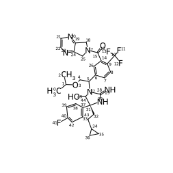 CC(C)OCC(c1ccc(C(F)(F)F)c(C(=O)N2Cc3nccnc3C2)c1)N1C(=N)N[C@](CCC2CC2)(c2ccc(F)cc2)C1O